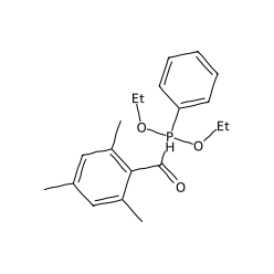 CCO[PH](OCC)(C(=O)c1c(C)cc(C)cc1C)c1ccccc1